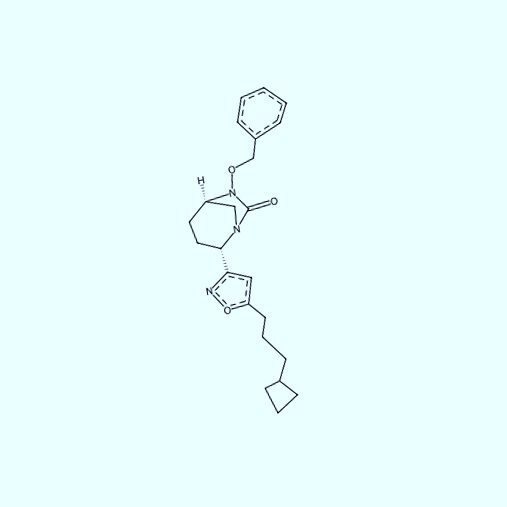 O=C1N2C[C@@H](CC[C@H]2c2cc(CCCC3CCC3)on2)N1OCc1ccccc1